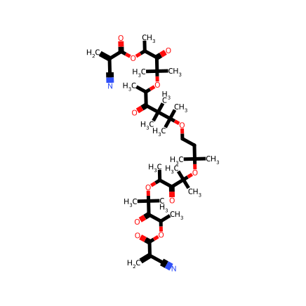 C=C(C#N)C(=O)OC(C)C(=O)C(C)(C)OC(C)C(=O)C(C)(C)OC(C)(C)CCOC(C)(C)C(C)(C)C(=O)C(C)OC(C)(C)C(=O)C(C)OC(=O)C(=C)C#N